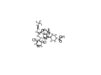 CC(C)(C)C#CCN(CCc1c(Cl)cncc1Cl)C(=O)c1cnn([C@H]2CC[C@H](C(=O)O)CC2)c1C(F)(F)F